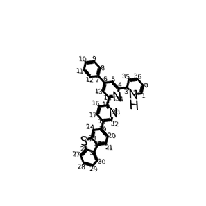 C1=CNC(c2cc(-c3ccccc3)cc(-c3ccc(-c4ccc5c(c4)sc4ccccc45)cn3)n2)C=C1